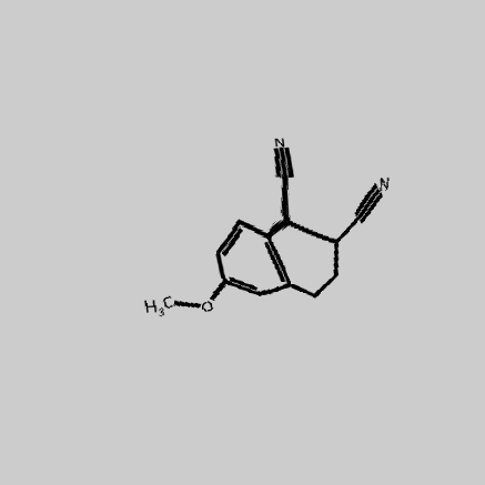 COc1ccc2c(c1)CCC(C#N)C2C#N